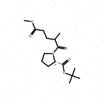 COC(=O)CCC(C)C(=O)N1CCC[C@H]1C(=O)OC(C)(C)C